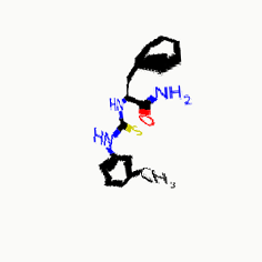 Cc1cccc(NC(=S)N[C@@H](Cc2ccccc2)C(N)=O)c1